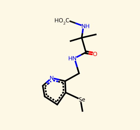 C[Se]c1cccnc1CNC(=O)C(C)(C)NC(=O)O